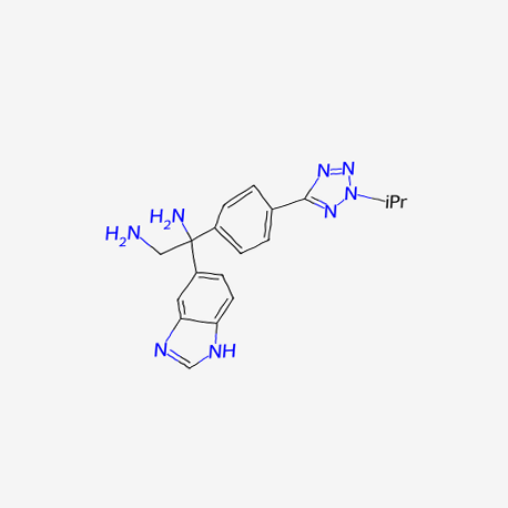 CC(C)n1nnc(-c2ccc(C(N)(CN)c3ccc4[nH]cnc4c3)cc2)n1